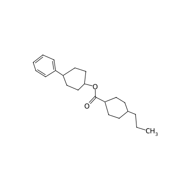 CCCC1CCC(C(=O)OC2CCC(c3ccccc3)CC2)CC1